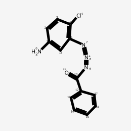 Nc1ccc(Cl)c(N=[N+]=NC(=O)c2ccccc2)c1